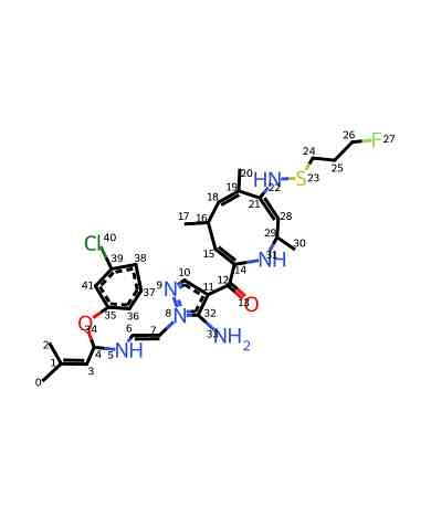 CC(C)=CC(N/C=C/n1ncc(C(=O)/C2=C/C(C)/C=C(C)\C(NSCCCF)=C/C(C)N2)c1N)Oc1cccc(Cl)c1